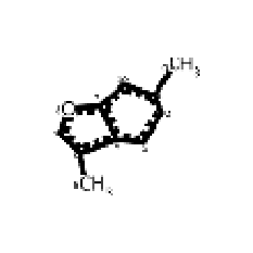 Cc1ccc2c(C)coc2c1